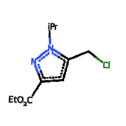 CCOC(=O)c1cc(CCl)n(C(C)C)n1